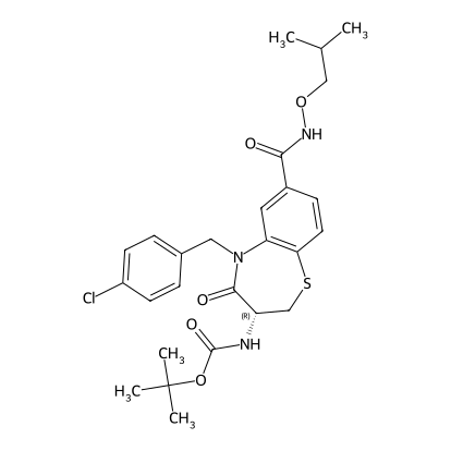 CC(C)CONC(=O)c1ccc2c(c1)N(Cc1ccc(Cl)cc1)C(=O)[C@@H](NC(=O)OC(C)(C)C)CS2